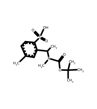 Cc1ccc(S(=O)(=O)O)c(C(C)N(C)C(=O)OC(C)(C)C)c1